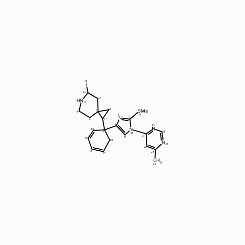 CSc1nc(C2(C3CC34CCNC(I)C4)C=CC=CC2)cn1-c1cc(C)ncn1